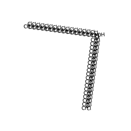 ClC(Cl)Cl.ClC(Cl)Cl.ClC(Cl)Cl.ClC(Cl)Cl.ClC(Cl)Cl.ClC(Cl)Cl.ClC(Cl)Cl.ClC(Cl)Cl.ClC(Cl)Cl.ClC(Cl)Cl.ClC(Cl)Cl.ClC(Cl)Cl.ClC(Cl)Cl.ClC(Cl)Cl.ClC(Cl)Cl.ClC(Cl)Cl.ClC(Cl)Cl.ClC(Cl)Cl.ClC(Cl)Cl.ClC(Cl)Cl.ClC(Cl)Cl.ClC(Cl)Cl.ClC(Cl)Cl.ClC(Cl)Cl.ClC(Cl)Cl.ClC(Cl)Cl.ClC(Cl)Cl.ClC(Cl)Cl.ClC(Cl)Cl.ClC(Cl)Cl.ClC(Cl)Cl.ClC(Cl)Cl.ClC(Cl)Cl.ClC(Cl)Cl.ClC(Cl)Cl.OCC(Cl)(Cl)Cl